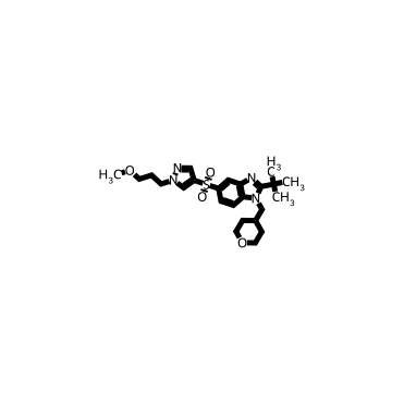 COCCCn1cc(S(=O)(=O)c2ccc3c(c2)nc(C(C)(C)C)n3CC2CCOCC2)cn1